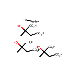 CC(O)(CC(=O)O)C(=O)O.CC(O)(CC(=O)O)C(=O)O.CC(O)(CC(=O)O)C(=O)O.CCCCC[CH2][Sn]